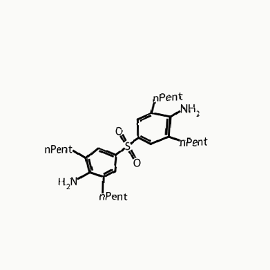 CCCCCc1cc(S(=O)(=O)c2cc(CCCCC)c(N)c(CCCCC)c2)cc(CCCCC)c1N